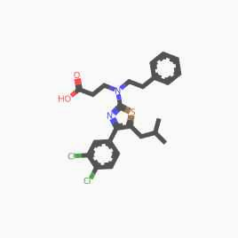 CC(C)Cc1sc(N(CCC(=O)O)CCc2ccccc2)nc1-c1ccc(Cl)c(Cl)c1